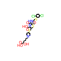 O=C(CSc1cc(Cl)ccc1Cl)N[C@H]1C(=O)N2C(C(=O)O)=C(CSc3cc[n+](CCCC[C@H](O)C(=O)O)cc3)CS[C@H]12